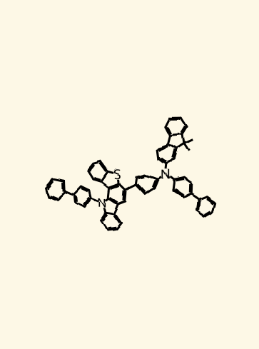 CC1(C)c2ccccc2-c2ccc(N(c3ccc(-c4ccccc4)cc3)c3ccc(-c4cc5c6ccccc6n(-c6ccc(-c7ccccc7)cc6)c5c5c4sc4ccccc45)cc3)cc21